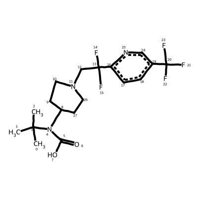 CC(C)(C)N(C(=O)O)C1CCN(CC(F)(F)c2ccc(C(F)(F)F)cn2)CC1